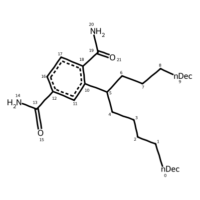 CCCCCCCCCCCCCCC(CCCCCCCCCCCCC)c1cc(C(N)=O)ccc1C(N)=O